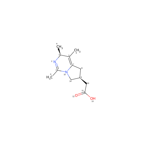 CC1=N[C@@H](C)C(C)=C2C[C@@H](CC(=O)O)CN12